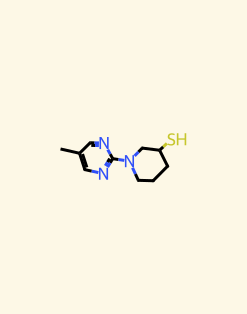 Cc1cnc(N2CCCC(S)C2)nc1